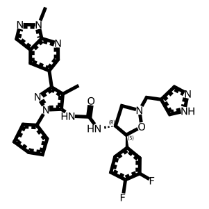 Cc1c(-c2cnc3c(cnn3C)c2)nn(-c2ccccc2)c1NC(=O)N[C@@H]1CN(Cc2cn[nH]c2)O[C@H]1c1ccc(F)c(F)c1